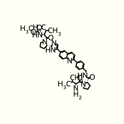 COC(=O)N[C@H](C(=O)N1CCC[C@H]1c1ncc(-c2ccc3nc(-c4ccc(CNC(=O)[C@@H]5CCCN5C(=O)[C@@H](N)C(C)C)cc4)ccc3c2)[nH]1)C(C)C